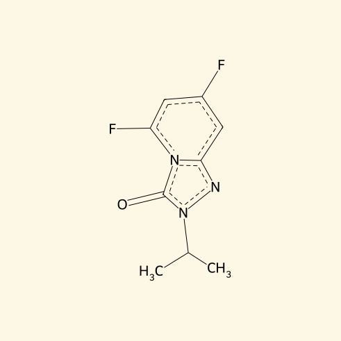 CC(C)n1nc2cc(F)cc(F)n2c1=O